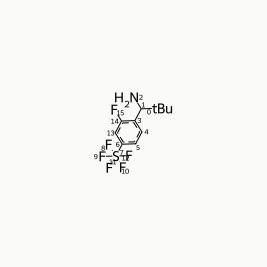 CC(C)(C)C(N)c1ccc(S(F)(F)(F)(F)F)cc1F